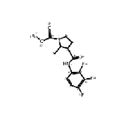 CC1C(C(=O)Nc2ccc(F)c(F)c2F)CCN1C(=O)OC(C)(C)C